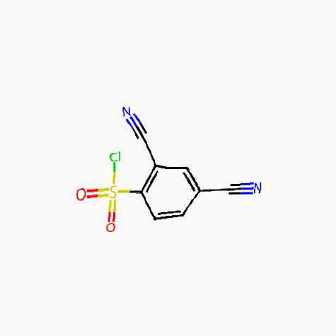 N#Cc1ccc(S(=O)(=O)Cl)c(C#N)c1